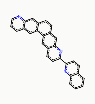 c1cnc2cc3ccc4cc5nc(-c6ccc7ccccc7n6)ccc5cc4c3cc2c1